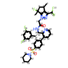 CC1CC(C)(F)c2c1c(C(F)F)nn2CC(=O)N[C@@H](Cc1cc(F)cc(F)c1)c1ncccc1-c1ccc(S(=O)(=O)N2CCCCC2)cc1